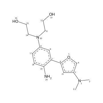 CN(C)c1coc(-c2cc(N(CCO)CCO)ccc2N)c1